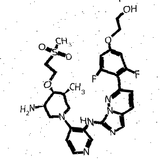 C[C@H]1CN(c2ccncc2Nc2ncc3ccc(-c4c(F)cc(OCCO)cc4F)nn23)C[C@@H](N)[C@H]1OCCS(C)(=O)=O